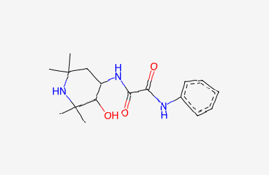 CC1(C)CC(NC(=O)C(=O)Nc2ccccc2)C(O)C(C)(C)N1